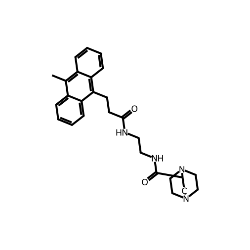 Cc1c2ccccc2c(CCC(=O)NCCNC(=O)C2CN3CCN2CC3)c2ccccc12